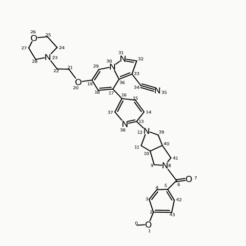 COc1ccc(C(=O)N2CC3CN(c4ccc(-c5cc(OCCN6CCOCC6)cn6ncc(C#N)c56)cn4)CC3C2)cc1